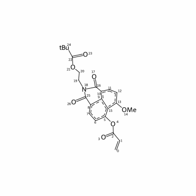 C=CC(=O)Oc1ccc2c3c(ccc(OC)c13)C(=O)N(CCOC(=O)C(C)(C)C)C2=O